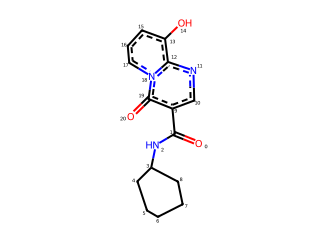 O=C(NC1CCCCC1)c1cnc2c(O)cccn2c1=O